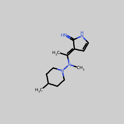 C/C(=C1/C=CNC1=N)N(C)N1CCC(C)CC1